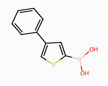 OB(O)c1cc(-c2ccccc2)cs1